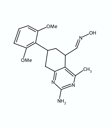 COc1cccc(OC)c1C1Cc2nc(N)nc(C)c2C(C=NO)C1